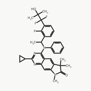 CC(c1cccc(C(F)(F)C(C)(C)O)c1F)N(c1ccccc1)c1nc(C2CC2)nc2cc3c(cc12)C(C)(C)C(=O)N3C